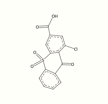 O=C(O)c1cc(Cl)c2c(c1)S(=O)(=O)c1ccccc1C2=O